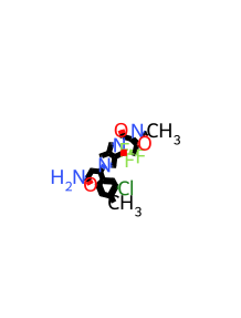 Cc1nc(C(=O)N2CC3CN(C(CC(N)=O)c4ccc(C)c(Cl)c4)CC3C2)c(C(F)(F)F)o1